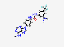 CNc1ncnc2c1ncn2-c1ccc(NC(=O)Nc2cc(N(C)C)cc(C(F)(F)F)c2)cc1